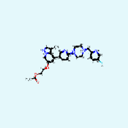 N#Cc1cnn2cc(OCCOC(=O)C(F)(F)F)cc(-c3ccc(N4CCN(Cc5ccc(F)cn5)CC4)nc3)c12